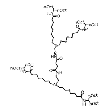 CCCCCCCCC(CCCCCCCC)NC(=O)CCCCCCCN(CCCCCCCC(=O)NC(CCCCCCCC)CCCCCCCC)CCNC(=O)CCC(=O)NCCN(CCCCCCCC(=O)NC(CCCCCCCC)CCCCCCCC)CCCCCCCC(=O)NC(CCCCCCCC)CCCCCCCC